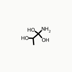 CC(O)C(N)(O)O